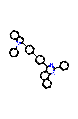 c1ccc(-c2nc(-c3ccc(-c4ccc(-c5cc6ccccc6n5-c5ccccc5)cc4)cc3)c3ccc4ccccc4c3n2)cc1